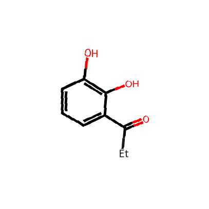 CCC(=O)c1cccc(O)c1O